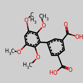 COc1cc(OC)c(OC)c(-c2cc(C(=O)O)cc(C(=O)O)c2)c1OC